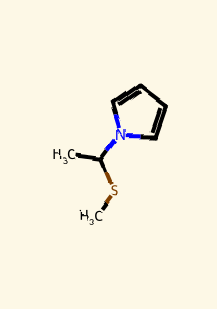 CSC(C)n1cccc1